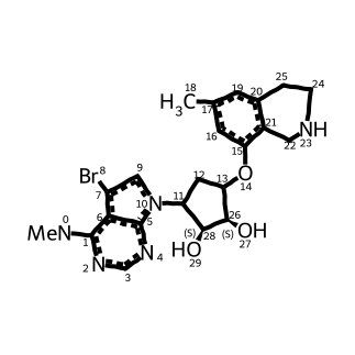 CNc1ncnc2c1c(Br)cn2C1CC(Oc2cc(C)cc3c2CNCC3)[C@@H](O)[C@H]1O